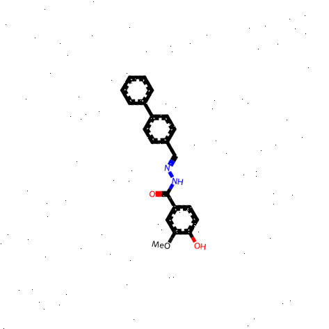 COc1cc(C(=O)N/N=C/c2ccc(-c3ccccc3)cc2)ccc1O